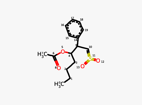 CCCCC(OC(C)=O)C(C=S(=O)=O)c1ccccc1